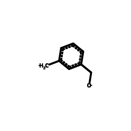 [CH2]c1cccc(C[O])c1